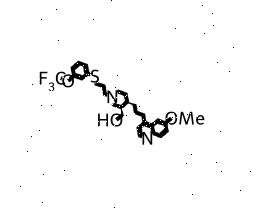 COc1ccc2nccc(CCC[C@@H]3CCN(CCCSc4cccc(OC(F)(F)F)c4)C[C@@H]3CO)c2c1